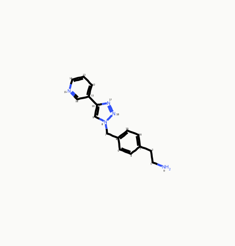 NCCc1ccc(Cn2cc(-c3cccnc3)nn2)cc1